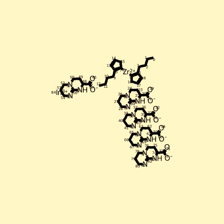 CCCCC1=[C]([Zr+2][C]2=C(CCCC)C=CC2)CC=C1.O=C([O-])C1CCN2CCCN=C2N1.O=C([O-])C1CCN2CCCN=C2N1.O=C([O-])C1CCN2CCCN=C2N1.O=C([O-])C1CCN2CCCN=C2N1.O=C([O-])C1CCN2CCCN=C2N1.[In+3]